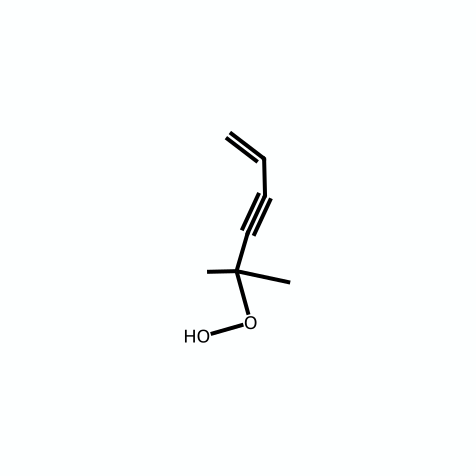 C=CC#CC(C)(C)OO